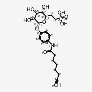 C#CCCCCCC(=O)Nc1ccc(O[C@H]2O[C@H](CCP(=O)(O)O)[C@@H](O)[C@H](O)[C@@H]2O)cc1